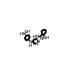 SNc1ccc(Nc2cnnc(Nc3n[nH]c4ccccc34)c2)cc1